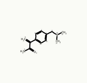 C=C(C(N)=O)c1ccc(CN(C)C)cc1